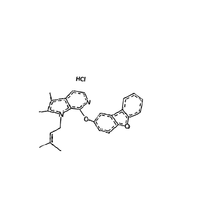 CC(C)=CCn1c(C)c(C)c2ccnc(Oc3ccc4oc5ccccc5c4c3)c21.Cl